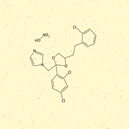 Clc1ccc(C2(Cn3ccnc3)OCC(CCc3ccccc3Cl)O2)c(Cl)c1.O=[N+]([O-])O